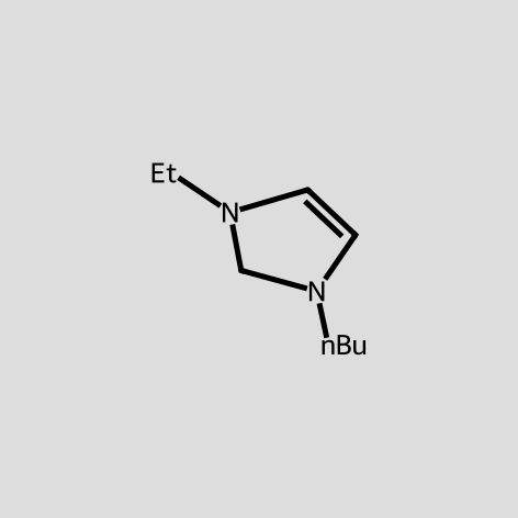 CCCCN1C=CN(CC)C1